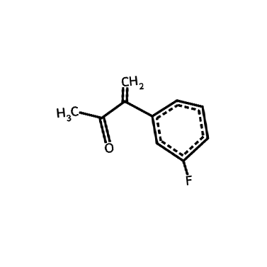 C=C(C(C)=O)c1cccc(F)c1